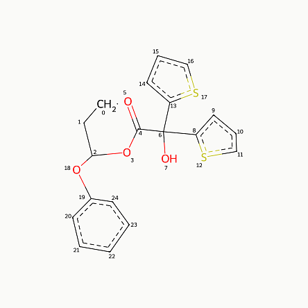 [CH2]CC(OC(=O)C(O)(c1cccs1)c1cccs1)Oc1ccccc1